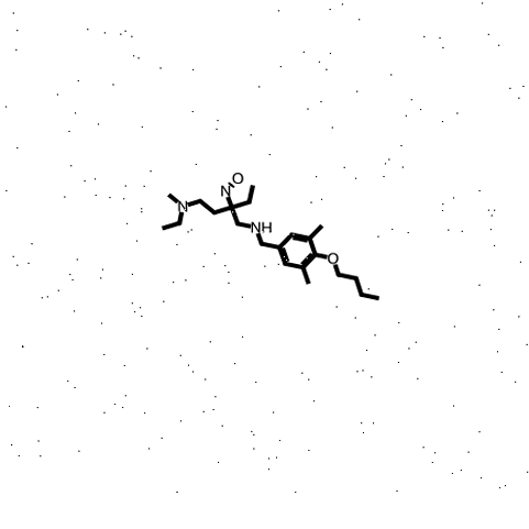 CCCCOc1c(C)cc(CNCC(CC)(CCN(C)CC)N=O)cc1C